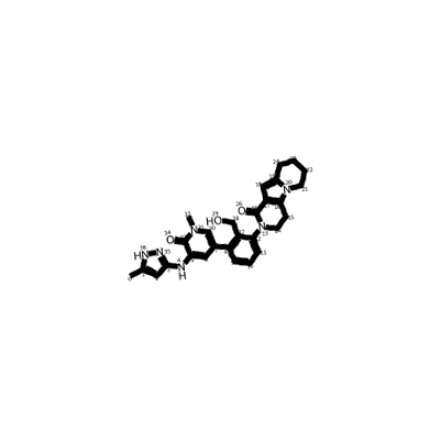 Cc1cc(Nc2cc(-c3cccc(N4CCc5c(cc6n5CCCC6)C4=O)c3CO)cn(C)c2=O)n[nH]1